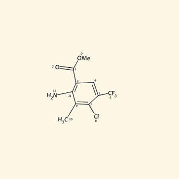 COC(=O)c1cc(C(F)(F)F)c(Cl)c(C)c1N